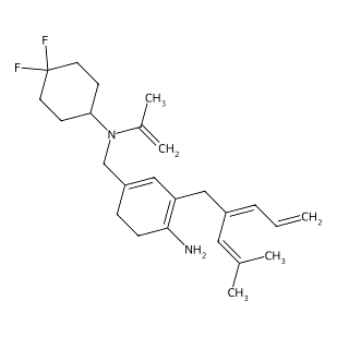 C=C/C=C(\C=C(C)C)CC1=C(N)CCC(CN(C(=C)C)C2CCC(F)(F)CC2)=C1